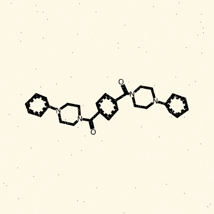 O=C(c1ccc(C(=O)N2CCN(c3ccccc3)CC2)cc1)N1CCN(c2ccccc2)CC1